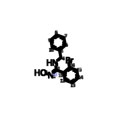 O/N=C(\NCc1ccccc1)c1ccccc1Br